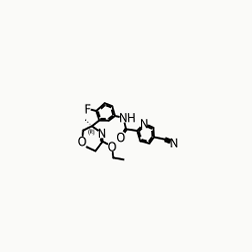 CCOC1=N[C@](C)(c2cc(NC(=O)c3ccc(C#N)cn3)ccc2F)COCC1